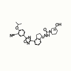 CC(C)Oc1ccc(-c2nc(-c3cccc4c3CC[C@@H]4NC(=O)N3CCC[C@H](O)C3)no2)cc1C#N